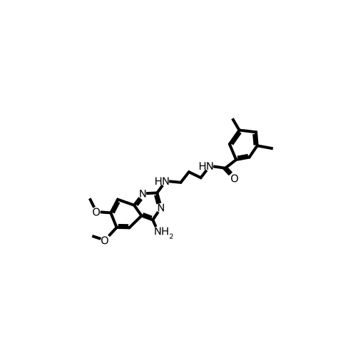 COc1cc2nc(NCCCNC(=O)c3cc(C)cc(C)c3)nc(N)c2cc1OC